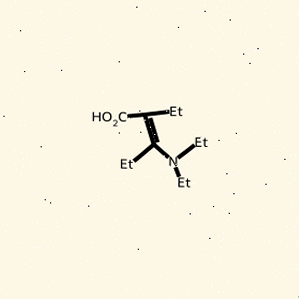 CCC(C(=O)O)=C(CC)N(CC)CC